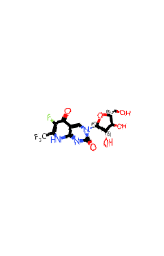 O=c1c(F)c(C(F)(F)F)[nH]c2nc(=O)n([C@@H]3O[C@H](CO)C(O)[C@@H]3O)cc12